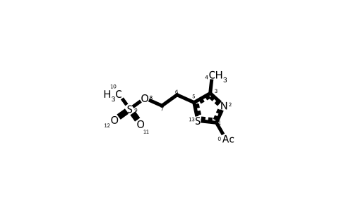 CC(=O)c1nc(C)c(CCOS(C)(=O)=O)s1